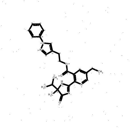 CCc1cnc(C2=NC(=O)C(C)(C(C)C)N2)c(C(=O)OCCc2cnn(-c3ccccc3)c2)c1